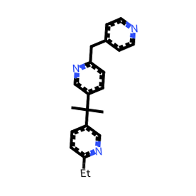 CCc1ccc(C(C)(C)c2ccc(Cc3ccncc3)nc2)cn1